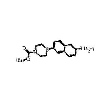 CCOC(=O)c1ccc2cc(N3CCN(C(=O)OC(C)(C)C)CC3)ccc2c1